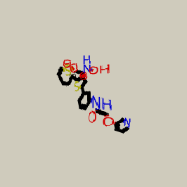 O=C(C[C@]1(c2ccc(-c3cccc(NC(=O)COc4cccnc4)c3)s2)CCCCS1(=O)=O)NO